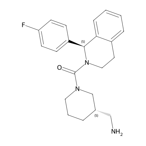 NC[C@@H]1CCCN(C(=O)N2CCc3ccccc3[C@@H]2c2ccc(F)cc2)C1